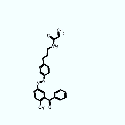 C=CC(=O)NCCCc1ccc(/N=N/c2ccc(O)c(C(=O)c3ccccc3)c2)cc1